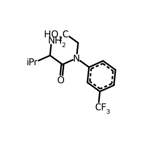 CC(C)C(N)C(=O)N(CC(=O)O)c1cccc(C(F)(F)F)c1